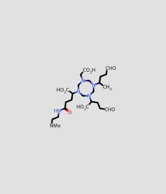 CNCCNC(=O)CCC(C(=O)O)N1CN(CC(=O)O)CN(C(C)CCC=O)CN(C(CCC=O)C(=O)O)C1